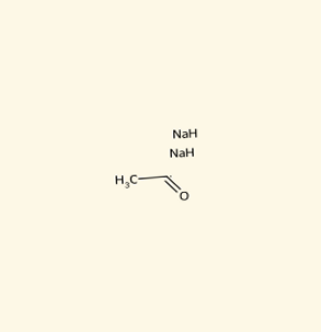 C[C]=O.[NaH].[NaH]